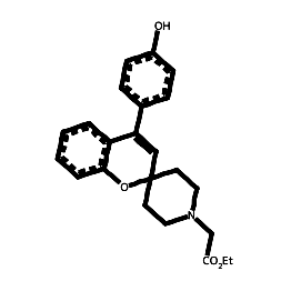 CCOC(=O)CN1CCC2(C=C(c3ccc(O)cc3)c3ccccc3O2)CC1